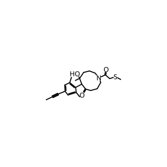 CC#Cc1cc(C)c(C2C(=O)CCCN(C(=O)CSC)CCCC2(C)O)c(C)c1